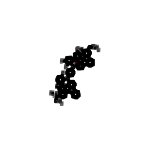 C=Cc1ccc(C2(c3cc(C)ccc3C)c3ccccc3-c3ccc(N(c4ccc(N(c5ccc6c7c5-c5ccc(C)cc5C7(c5ccc(C=C)cc5)c5ccccc5-6)c5c(F)ccc(F)c5F)cc4)c4c(F)ccc(F)c4F)cc32)cc1